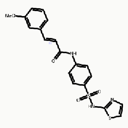 COc1cccc(/C=C/C(=O)Nc2ccc(S(=O)(=O)Nc3nccs3)cc2)c1